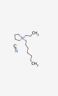 CCCCCCC[N+]1(CCC)CCCC1.[C-]#N